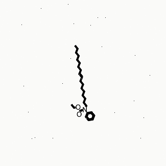 CCCCCCCCC=CCCCCCCCCN(C(=O)OCC)c1ccccc1